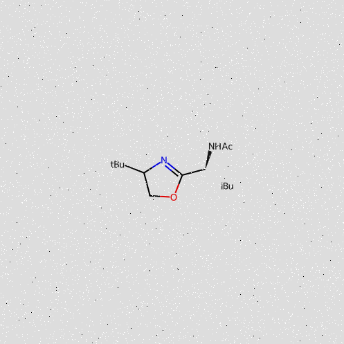 CC[C@H](C)[C@H](NC(C)=O)C1=NC(C(C)(C)C)CO1